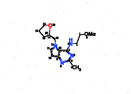 COCCNc1nc(C)nc2ccn(C[C@H]3CCCO3)c12